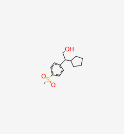 CS(=O)(=O)c1ccc(C(CO)C2CCCC2)cc1